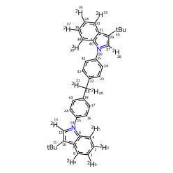 [2H]c1c([2H])c([2H])c2c(c1[2H])c(C(C)(C)C)c([2H])n2-c1ccc(C([2H])([2H])c2ccc(-n3c([2H])c(C(C)(C)C)c4c([2H])c([2H])c([2H])c([2H])c43)cc2)cc1